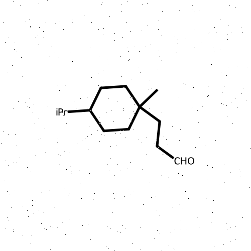 CC(C)C1CCC(C)(CCC=O)CC1